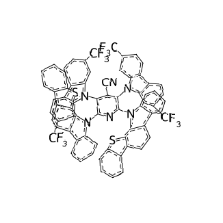 N#Cc1c(-n2c3cc(C(F)(F)F)ccc3c3ccc(C(F)(F)F)cc32)c(-n2c3ccccc3c3ccc4c5ccccc5sc4c32)nc(-n2c3ccccc3c3ccc4c5ccccc5sc4c32)c1-n1c2cc(C(F)(F)F)ccc2c2ccc(C(F)(F)F)cc21